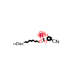 CCCCCCCCCCCCCCCCCCOC[C@H](COP(=O)(O)O)Oc1cccc(C#N)c1